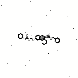 O=C(OCOc1ccc2c(c1)[C@]13CCCC[C@@H]1[C@H](C2)N(C(=O)OCc1ccccc1)CC3)OC1CCCCC1